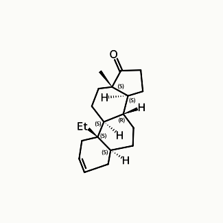 CC[C@]12CC=CC[C@@H]1CC[C@@H]1[C@@H]2CC[C@]2(C)C(=O)CC[C@@H]12